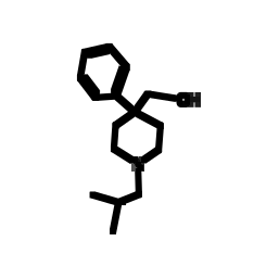 C[C](C)CN1CCC(CO)(c2ccccc2)CC1